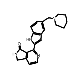 O=C1NCc2ccnc(-c3cc4cc(CN5CCCCC5)ccc4[nH]3)c21